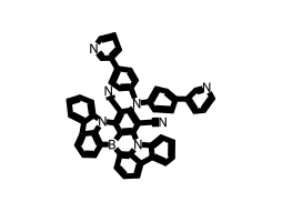 N#Cc1c(N(c2ccc(-c3cccnc3)cc2)c2ccc(-c3cccnc3)cc2)c(C#N)c2c3c1-n1c4ccccc4c4cccc(c41)B3c1cccc3c4ccccc4n-2c13